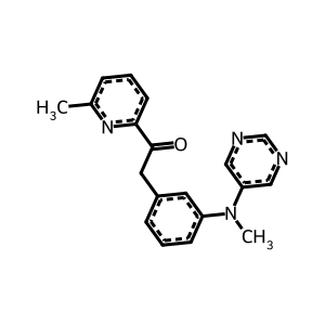 Cc1cccc(C(=O)Cc2cccc(N(C)c3cncnc3)c2)n1